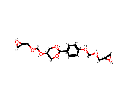 c1cc(C2OCC(OCOCC3CO3)CO2)ccc1OCOCC1CO1